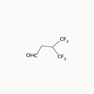 O=CCC(C(F)(F)F)C(F)(F)F